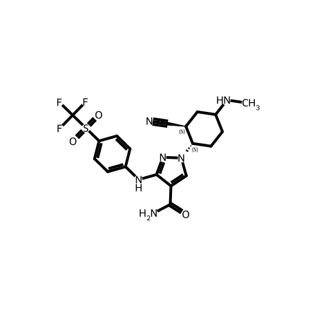 CNC1CC[C@H](n2cc(C(N)=O)c(Nc3ccc(S(=O)(=O)C(F)(F)F)cc3)n2)[C@@H](C#N)C1